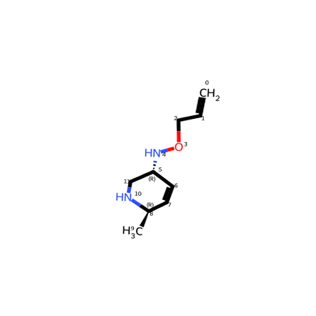 C=CCON[C@@H]1C=C[C@@H](C)NC1